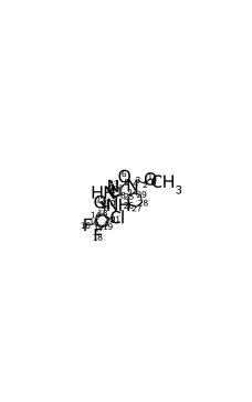 COCCN(C(=O)c1cc(NC(=O)c2cc(F)c(F)cc2Cl)[nH]n1)C1CCCCC1